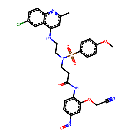 COc1ccc(S(=O)(=O)N(CCNc2cc(C)nc3ccc(Cl)cc23)CCC(=O)Nc2ccc(N=O)cc2OCC#N)cc1